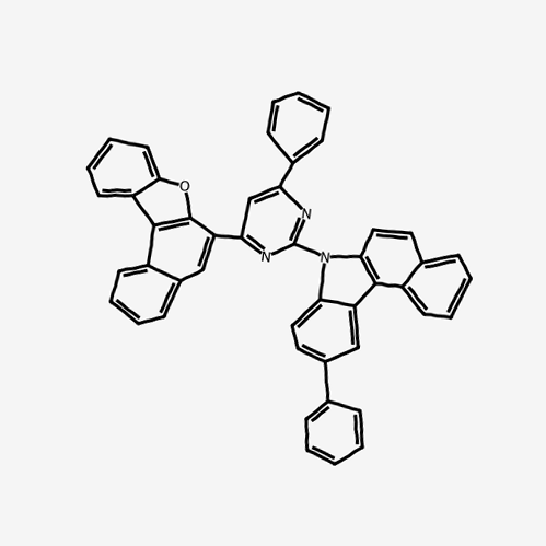 c1ccc(-c2ccc3c(c2)c2c4ccccc4ccc2n3-c2nc(-c3ccccc3)cc(-c3cc4ccccc4c4c3oc3ccccc34)n2)cc1